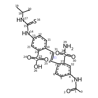 CC(=O)Nc1ccc(/C=C/c2ccc(NC(=S)NC(C)C)cc2S(=O)(=O)O)c(S(N)(=O)=O)c1